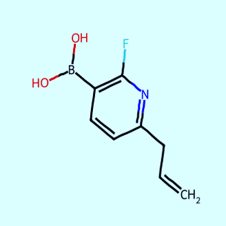 C=CCc1ccc(B(O)O)c(F)n1